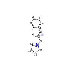 C/C(=C\c1ccccc1)CN1CCCC1